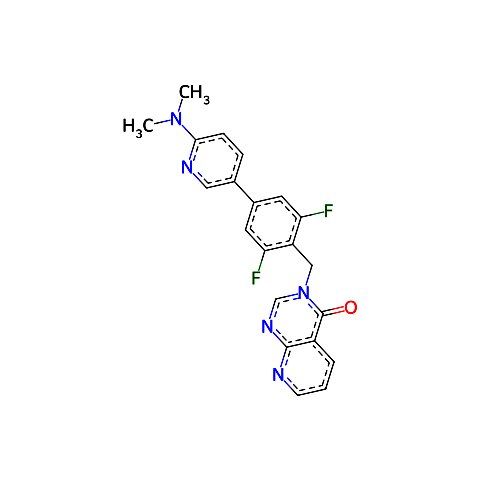 CN(C)c1ccc(-c2cc(F)c(Cn3cnc4ncccc4c3=O)c(F)c2)cn1